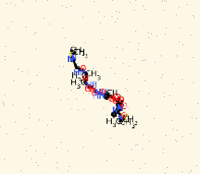 CCC(CC)Sc1ncc(C#CCCCC(=O)NCC(C)(C)COCC(C)CNC(=O)COCC(=O)NCC(=O)Nc2ccc(COC(=O)O[C@@H]3C(=O)OCc4c3cc3n(c4=O)Cc4c-3nc3ccccc3c4CCN(C(C)C)[S+](C)[O-])c(C)c2)cn1